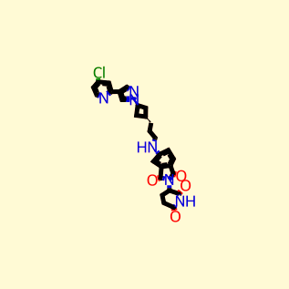 O=C1CCC(N2C(=O)c3ccc(NCCC[C@H]4C[C@H](n5cc(-c6cc(Cl)ccn6)cn5)C4)cc3C2=O)C(=O)N1